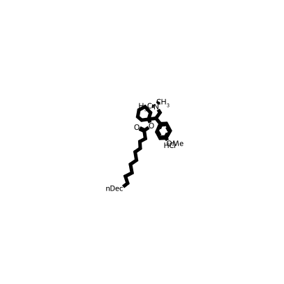 CCCCCCCCCCCCCCCCCCCC(=O)OC1(C(CN(C)C)c2ccc(OC)cc2)CCCCC1.Cl